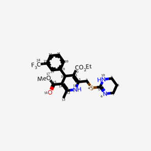 CCOC(=O)C1=C(CSC2=NCCCN2)NC(C)=C(C(=O)OC)C1c1cccc(C(F)(F)F)c1